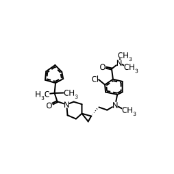 CN(C)C(=O)c1ccc(N(C)CC[C@@H]2CC23CCN(C(=O)C(C)(C)c2ccccc2)CC3)cc1Cl